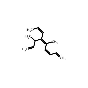 C=C\C=C/C(C)=C(/C=C\C)C(C)C=C